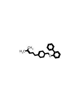 CC(C)=CCCC1=CCC(COc2ccccc2-c2ccccc2)CC1